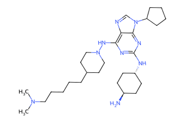 CN(C)CCCCCC1CCN(Nc2nc(N[C@H]3CC[C@H](N)CC3)nc3c2ncn3C2CCCC2)CC1